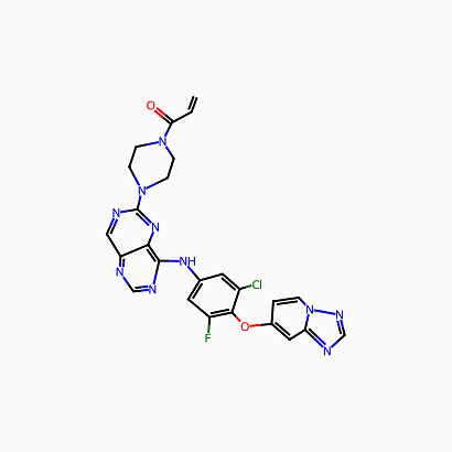 C=CC(=O)N1CCN(c2ncc3ncnc(Nc4cc(F)c(Oc5ccn6ncnc6c5)c(Cl)c4)c3n2)CC1